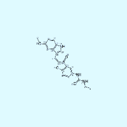 CCNC(=O)Nc1ccc2c(c1)C(=O)C(=Cc1c[nH]c3ccc(OC)cc13)O2